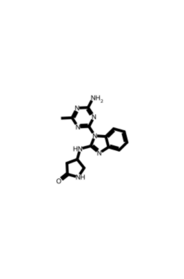 Cc1nc(N)nc(-n2c(NC3CNC(=O)C3)nc3ccccc32)n1